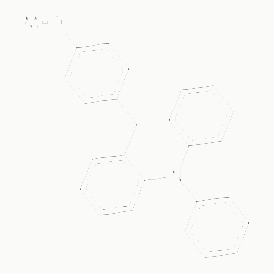 COc1ccc(Cc2ccccc2N(c2ccccc2)c2ccccc2)cc1